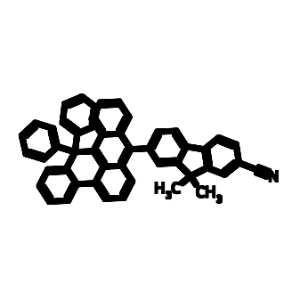 CC1(C)c2cc(C#N)ccc2-c2ccc(-c3c4ccccc4c4c5c(cccc35)-c3ccccc3C4(c3ccccc3)c3ccccc3)cc21